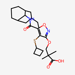 CCC1CC2CCCC(C1)C2NC(=O)c1onc(OCC(C)(C)C(=O)O)c1SC1CCC1